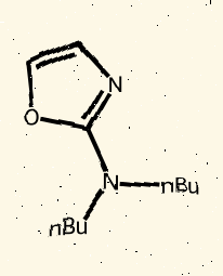 CCCCN(CCCC)c1ncco1